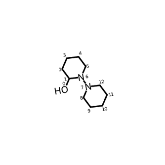 OC1CCCCN1N1CCCCC1